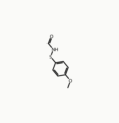 COc1ccc(SN[C]=O)cc1